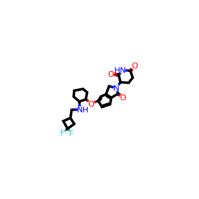 O=C1CCC(N2Cc3cc(OC4CCCCC4NCC4CC(F)(F)C4)ccc3C2=O)C(=O)N1